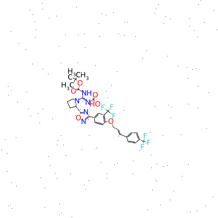 CC(C)(C)OC(=O)NC(=NC(=O)O)N1CCCC1c1nc(-c2ccc(OCC=Cc3ccc(C(F)(F)F)cc3)c(C(F)(F)F)c2)no1